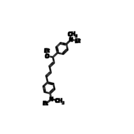 CCOC(/C=C/C=C/c1ccc(N(C)CC)cc1)c1ccc(N(C)CC)cc1